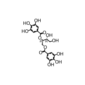 O=C(OC[C@@H](OC(=O)c1cc(O)c(O)c(O)c1)[C@H](O)CO)c1cc(O)c(O)c(O)c1